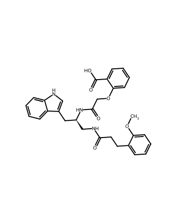 COc1ccccc1CCC(=O)NC[C@@H](Cc1c[nH]c2ccccc12)NC(=O)COc1ccccc1C(=O)O